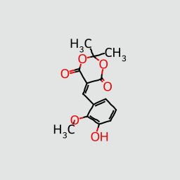 COc1c(O)cccc1C=C1C(=O)OC(C)(C)OC1=O